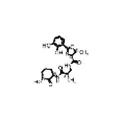 C[C@H](CNC(=O)[C@H]1N=C(c2cccc(O)c2O)O[C@@H]1C)C(=O)N[C@@H]1CCCN(O)C1=O